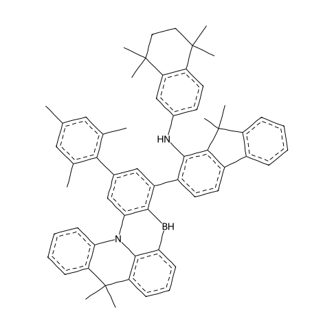 Cc1cc(C)c(-c2cc(-c3ccc4c(c3Nc3ccc5c(c3)C(C)(C)CCC5(C)C)C(C)(C)c3ccccc3-4)c3c(c2)N2c4ccccc4C(C)(C)c4cccc(c42)B3)c(C)c1